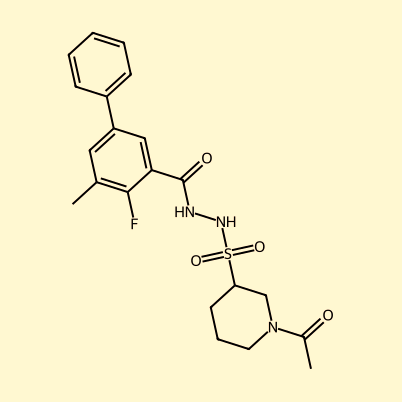 CC(=O)N1CCCC(S(=O)(=O)NNC(=O)c2cc(-c3ccccc3)cc(C)c2F)C1